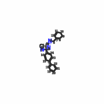 C=N/C(=N\C=N/CC1=CCCC=C1)c1ccc(-c2ccccc2)cc1